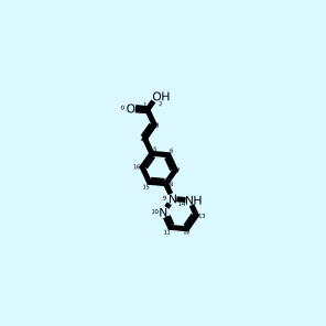 O=C(O)C=Cc1ccc(N2N=CC=CN2)cc1